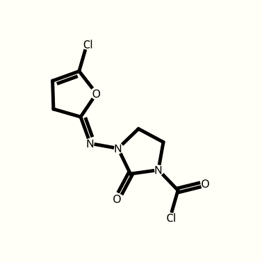 O=C(Cl)N1CCN(N=C2CC=C(Cl)O2)C1=O